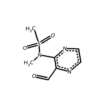 CN(c1nccnc1C=O)S(C)(=O)=O